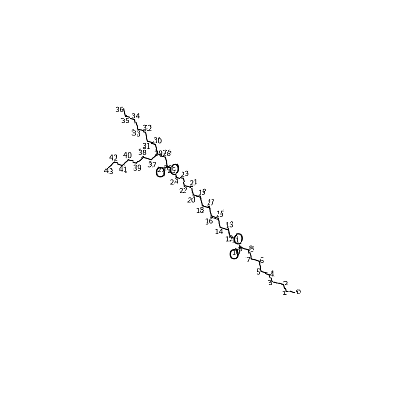 CCCCCCCCCC(=O)OCCCCCCCCCCCCCOC(=O)CC(CCCCCCC)CCCCCCC